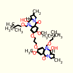 C=C1C[C@H]2C(O)N(COCC[Si](C)(C)C)c3cc(OCCCOc4cc5c(cc4OC)C(=O)N4CC(=C)C[C@H]4C(O)N5COCC[Si](C)(C)C)c(OC)cc3C(=O)N2C1